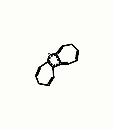 C1=CCC=c2sc3c(c2=C1)C=CCC=C3